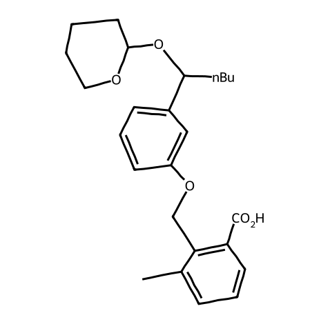 CCCCC(OC1CCCCO1)c1cccc(OCc2c(C)cccc2C(=O)O)c1